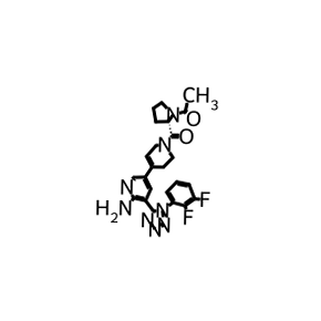 CC(=O)N1CCC[C@H]1C(=O)N1CC=C(c2cnc(N)c(-c3nnnn3-c3cccc(F)c3F)c2)CC1